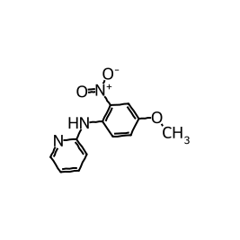 COc1ccc(Nc2ccccn2)c([N+](=O)[O-])c1